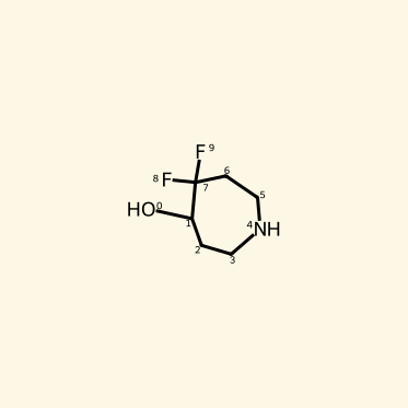 OC1CCNCCC1(F)F